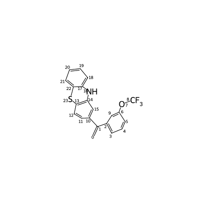 C=C(c1cccc(OC(F)(F)F)c1)c1ccc2c(c1)Nc1ccccc1S2